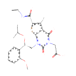 CCNC(=O)c1sc2c(c1C)c(=O)n(CC(=O)O)c(=O)n2C[C@H](OC(C)C)c1ccccc1OC